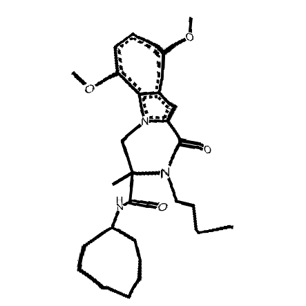 CCCCN1C(=O)c2cc3c(OC)ccc(OC)c3n2CC1(C)C(=O)NC1CCCCCC1